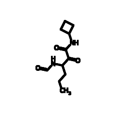 CCCC(NC=O)C(=O)C(=O)NC1CCC1